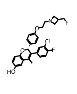 CC1=C(c2ccc(F)c(Cl)c2)[C@@H](c2ccc(OCCN3CC(CF)C3)cc2)Oc2ccc(O)cc21